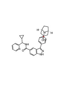 O=C(NC(c1ccccn1)C1CC1)c1ccc2[nH]nc(-c3ccc(N4[C@@H]5CC[C@H]4C[C@@H](O)C5)cc3)c2c1